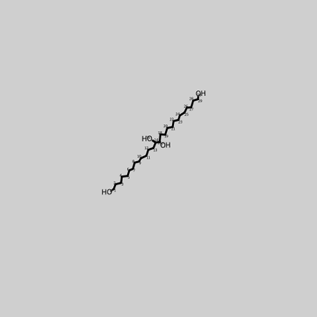 OCCCCCCCCCCCCCC(O)C(O)CCCCCCCCCCCCO